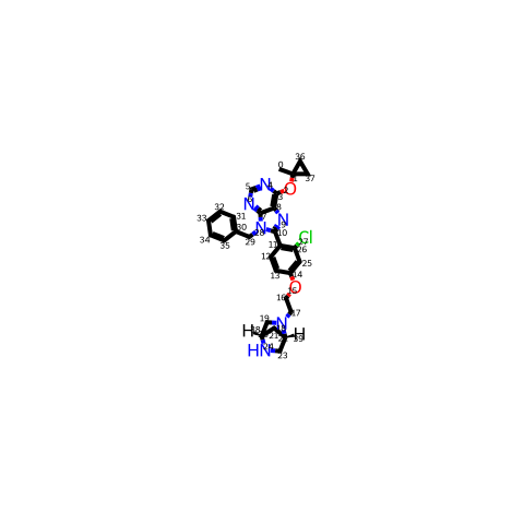 CC1(Oc2ncnc3c2nc(-c2ccc(OCCN4C[C@@H]5C[C@H]4CN5)cc2Cl)n3Cc2ccccc2)CC1